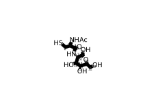 CC(=O)NC(CS)C(=O)N[C@@H]1C(O)OC(CO)[C@@H](O)C1O